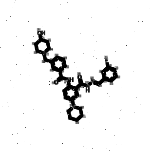 O=C(Nc1ccc(N2CCCCC2)cc1C(=O)NN=Cc1cccc(F)c1)c1cccc(CN2CCC(O)CC2)c1